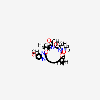 COc1ccc2nc3c(nc2c1)O[C@H]1CN(C(=O)[C@H](C(C)(C)C)NC(=O)O[C@@H]2C[C@@H]4CC4[C@H]2CCCCC3)[C@H](C(C)=O)[C@@H]1C